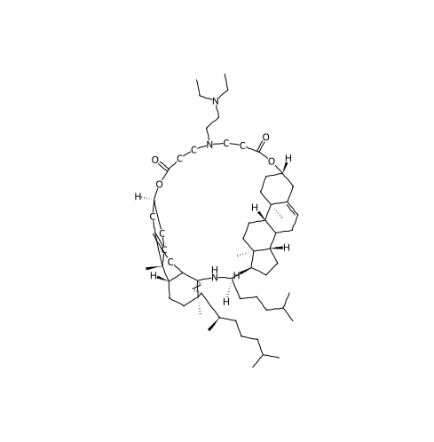 CCN(CC)CCN1CCC(=O)O[C@H]2CC[C@@]3(C)C(=CCC4[C@@H]5CC[C@H]([C@@H](CCCC(C)C)N[C@@]67CC[C@H]([C@H](C)CCCC(C)C)[C@@]6(C)CC[C@H]6C7CC=C7C[C@H](CC[C@@]76C)OC(=O)CC1)[C@@]5(C)CC[C@@H]43)C2